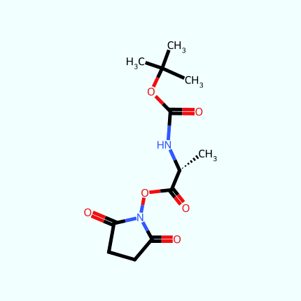 C[C@@H](NC(=O)OC(C)(C)C)C(=O)ON1C(=O)CCC1=O